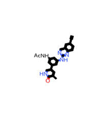 C#Cc1ccc2nc(Nc3cc(NC(C)=O)cc(-c4c[nH]c(=O)c(C)c4)c3)ncc2c1